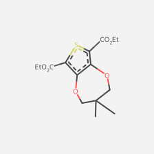 CCOC(=O)c1sc(C(=O)OCC)c2c1OCC(C)(C)CO2